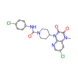 Cn1c(=O)c(=O)n(C2CCN(C(=O)Nc3ccc(Cl)cc3)CC2)c2ncc(Cl)cc21